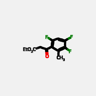 CCOC(=O)CC(=O)c1c(F)cc(F)c(F)c1C